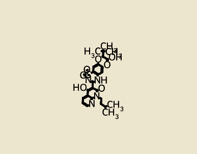 CC(C)CCn1c(=O)c(C2=NS(=O)(=O)c3cc(OC(C(=O)O)C(C)(C)C)ccc3N2)c(O)c2cccnc21